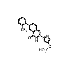 O=C(O)Oc1cnn(-c2nc3ccc(-c4ccccc4C(F)(F)F)cc3c(=O)[nH]2)c1